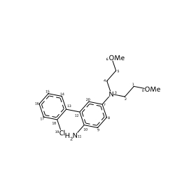 COCCN(CCOC)c1ccc(N)c(-c2ccccc2Cl)c1